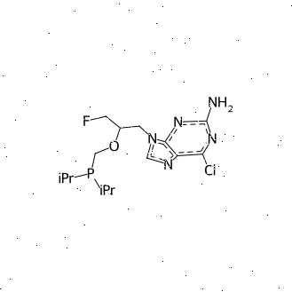 CC(C)P(COC(CF)Cn1cnc2c(Cl)nc(N)nc21)C(C)C